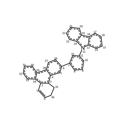 C1=Cc2c(c3cc(-c4cccc(-n5c6ccccc6c6ccccc65)c4)ccc3c3ccccc23)CC1